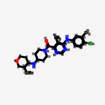 CO[C@H]1COCC[C@H]1NC1CCN(C(=O)c2ncnc(Nc3ccc(Cl)c(C(F)(F)F)c3)c2C)CC1